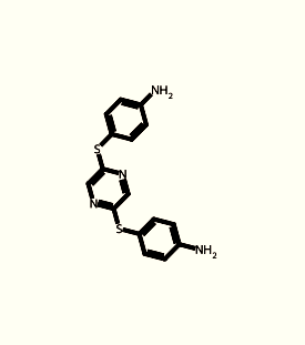 Nc1ccc(Sc2cnc(Sc3ccc(N)cc3)cn2)cc1